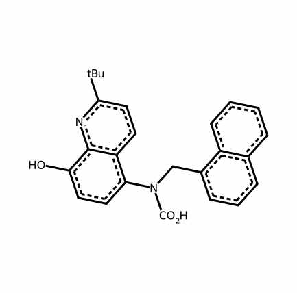 CC(C)(C)c1ccc2c(N(Cc3cccc4ccccc34)C(=O)O)ccc(O)c2n1